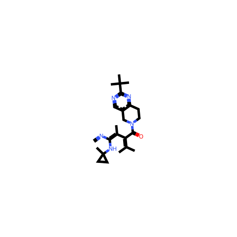 C=N/C(NC1(C)CC1)=C(\C)C(C(=O)N1CCc2nc(C(C)(C)C)ncc2C1)=C(C)C